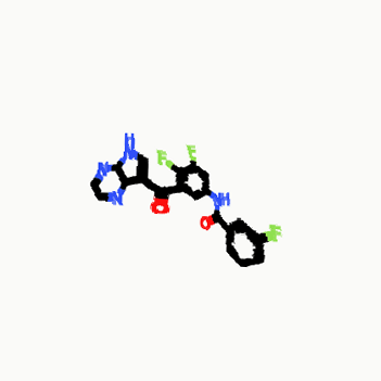 O=C(Nc1cc(F)c(F)c(C(=O)C2=CNC3N=CC=NC23)c1)c1cccc(F)c1